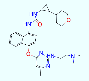 Cc1cc(Oc2ccc(NC(=O)NC3CC3C3CCOCC3)c3ccccc23)nc(NCCN(C)C)n1